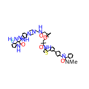 C=C1C(CC(=O)NCCN2CCN(c3ccc4nc(-c5c(N)c6c(F)cccc6[nH]c5=O)[nH]c4c3)CC2)C1(C)OCCC(C)(C)C(=O)Nc1ccsc1-c1cccc(-c2ccc(CN(C)[C@H](C(=O)NC)c3ccccc3)cc2)c1